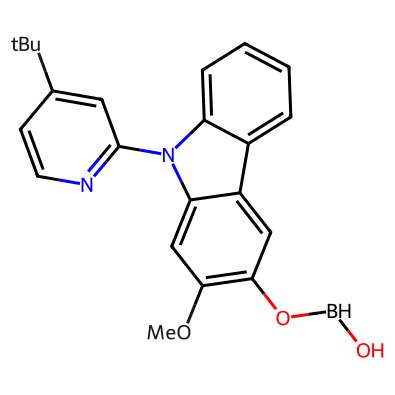 COc1cc2c(cc1OBO)c1ccccc1n2-c1cc(C(C)(C)C)ccn1